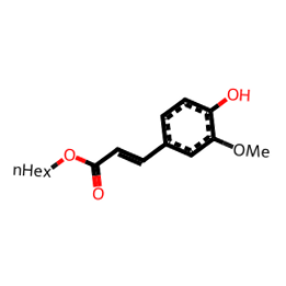 CCCCCCOC(=O)/C=C/c1ccc(O)c(OC)c1